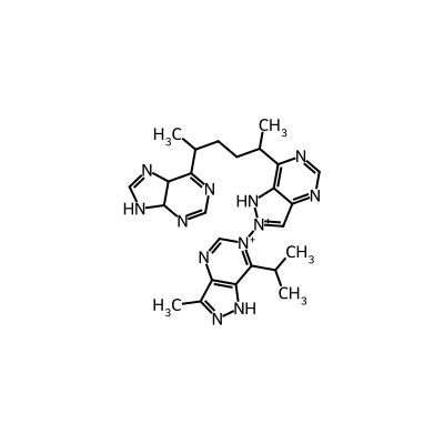 Cc1n[nH]c2c(C(C)C)[n+](-[n+]3cc4ncnc(C(C)CCC(C)C5=NC=NC6NC=NC56)c4[nH]3)cnc12